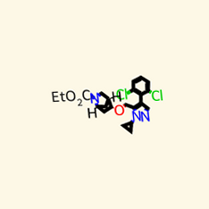 CCOC(=O)N1C[C@@H]2C[C@H]1C[C@H]2OCc1c(-c2c(Cl)cccc2Cl)cnn1C1CC1